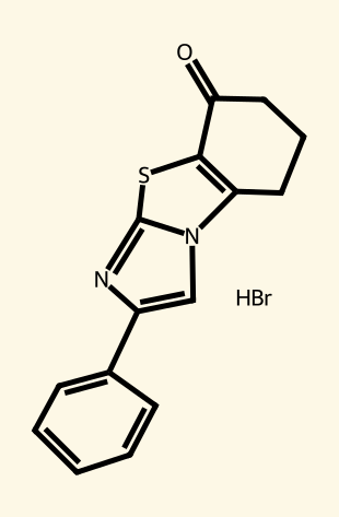 Br.O=C1CCCc2c1sc1nc(-c3ccccc3)cn21